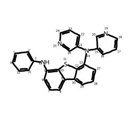 c1ccc(Nc2cccc3c2sc2c(N(c4cccnc4)c4cccnc4)cccc23)cc1